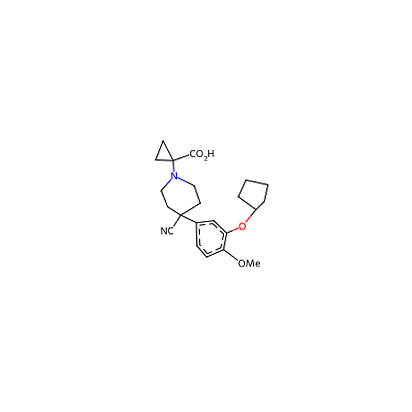 COc1ccc(C2(C#N)CCN(C3(C(=O)O)CC3)CC2)cc1OC1CCCC1